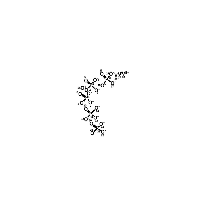 O=P([O-])([O-])[O-].O=P([O-])([O-])[O-].O=P([O-])([O-])[O-].O=P([O-])([O-])[O-].O=P([O-])([O-])[O-].[O].[V+5].[V+5].[V+5]